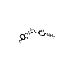 CC(CCc1ccc(N)nc1)NCc1ccc(F)cc1F